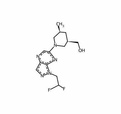 C[C@H]1C[C@@H](CO)CN(c2cnc3cnn(CC(F)F)c3n2)C1